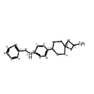 CCCC1CC2(CCC(c3ccc(NCc4ccccc4)cc3)CC2)C1